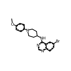 COc1ccc(N2CCC(Nc3ncnc4ccc(Br)cc34)CC2)cc1